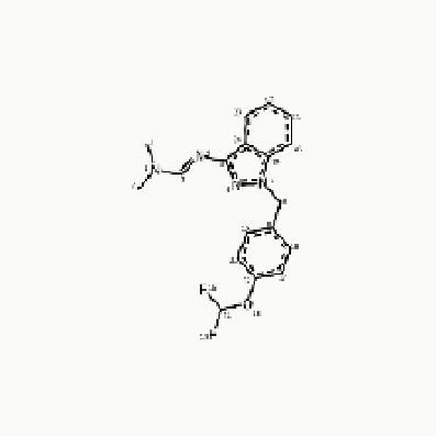 CN(C)C=Nc1nn(Cc2ccc(OC(F)F)cc2)c2ccccc12